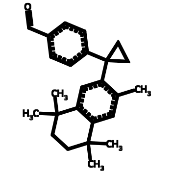 Cc1cc2c(cc1C1(c3ccc(C=O)cc3)CC1)C(C)(C)CCC2(C)C